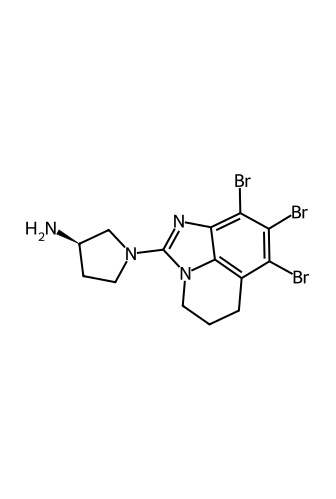 N[C@@H]1CCN(c2nc3c(Br)c(Br)c(Br)c4c3n2CCC4)C1